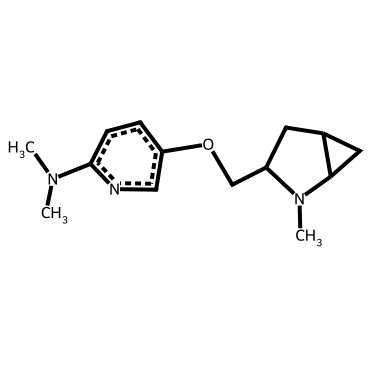 CN(C)c1ccc(OCC2CC3CC3N2C)cn1